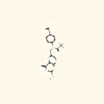 CNc1nc2ncc(CN(C(=O)C(F)(F)F)c3ccc(C(=O)O)cc3)nc2c(=O)[nH]1